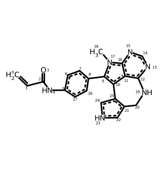 C=CC(=O)Nc1ccc(-c2c3c4c(ncnc4n2C)NCc2c[nH]cc2-3)cc1